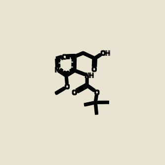 COc1nccc(CC(=O)O)c1NC(=O)OC(C)(C)C